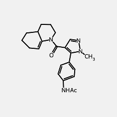 CC(=O)Nc1ccc(-c2c(C(=O)N3CCCC4CCCC=C43)cnn2C)cc1